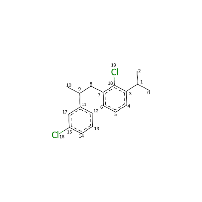 CC(C)c1cccc(CC(C)c2cccc(Cl)c2)c1Cl